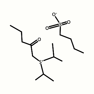 CCCC(=O)C[S+](C(C)C)C(C)C.CCCCS(=O)(=O)[O-]